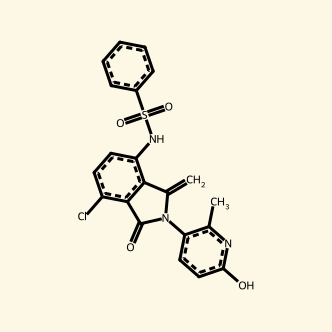 C=C1c2c(NS(=O)(=O)c3ccccc3)ccc(Cl)c2C(=O)N1c1ccc(O)nc1C